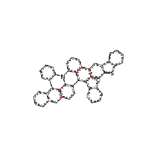 c1cc(-c2ccc3sc4ccccc4c3c2)cc(N(c2ccccc2-c2cccc3ccccc23)c2ccccc2-c2cccc3oc4ccccc4c23)c1